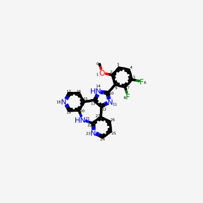 COc1ccc(F)c(F)c1-c1nc2c([nH]1)-c1ccncc1Nc1ncccc1-2